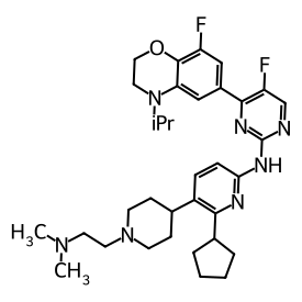 CC(C)N1CCOc2c(F)cc(-c3nc(Nc4ccc(C5CCN(CCN(C)C)CC5)c(C5CCCC5)n4)ncc3F)cc21